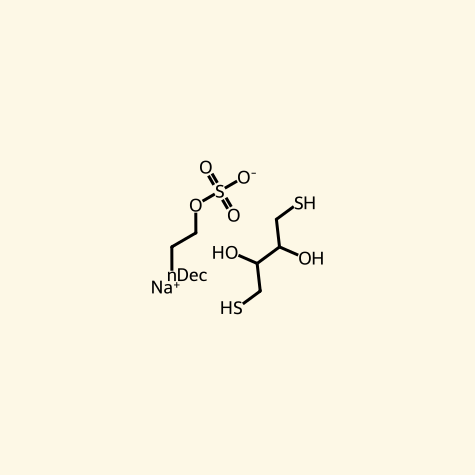 CCCCCCCCCCCCOS(=O)(=O)[O-].OC(CS)C(O)CS.[Na+]